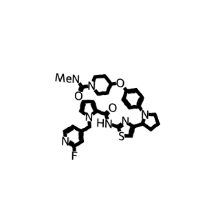 CNC(=O)N1CCC(Oc2ccc(N3CCCC3c3csc(NC(=O)c4cccn4Cc4ccnc(F)c4)n3)cc2)CC1